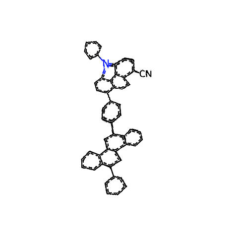 N#Cc1ccc2c3c1ccc1c(-c4ccc(-c5cc6c7ccccc7c(-c7ccccc7)cc6c6ccccc56)cc4)ccc(c13)n2-c1ccccc1